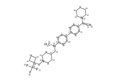 C=C(c1ccc(-c2ccc(N(C)CC3CCN(CC4(C(F)(F)F)CCC4)CC3)cc2)cc1)N1CCCCC1